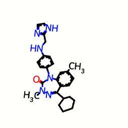 Cc1ccc2c(c1)N(c1ccc(NCc3ncc[nH]3)cc1)C(=O)N(C)N=C2C1CCCCC1